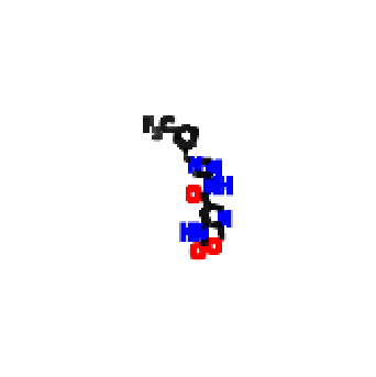 O=C1Nc2cc(C(=O)Nc3cn(Cc4cccc(C(F)(F)F)c4)cn3)cnc2CO1